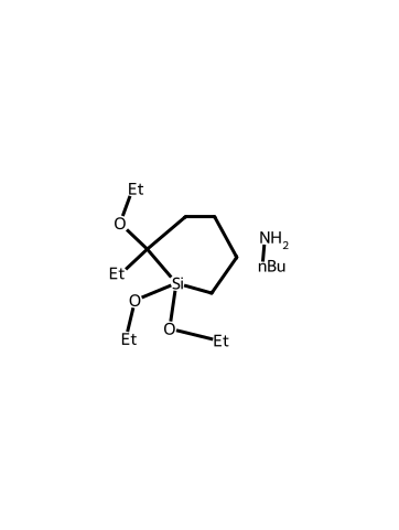 CCCCN.CCOC1(CC)CCCC[Si]1(OCC)OCC